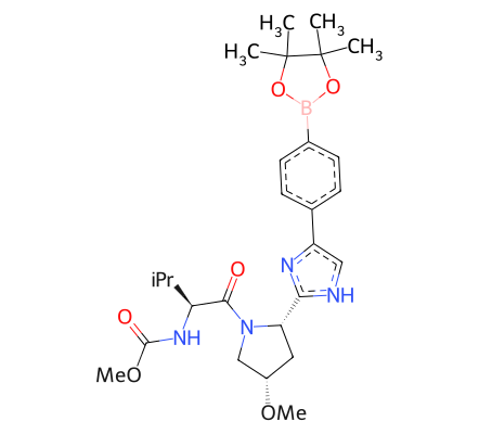 COC(=O)N[C@H](C(=O)N1C[C@@H](OC)C[C@H]1c1nc(-c2ccc(B3OC(C)(C)C(C)(C)O3)cc2)c[nH]1)C(C)C